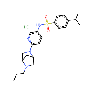 CCCN1CC2CC1CN2c1ccc(NS(=O)(=O)c2ccc(C(C)C)cc2)cn1.Cl